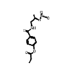 CCC(=O)Oc1ccc(C(=O)NCC(C)O[N+](=O)[O-])cc1